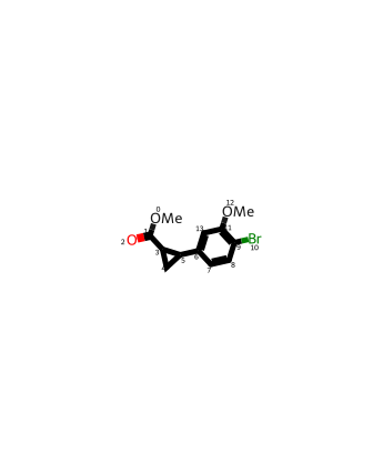 COC(=O)C1CC1c1ccc(Br)c(OC)c1